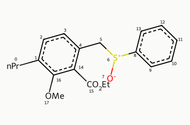 CCCc1ccc(C[S+]([O-])c2ccccc2)c(C(=O)OCC)c1OC